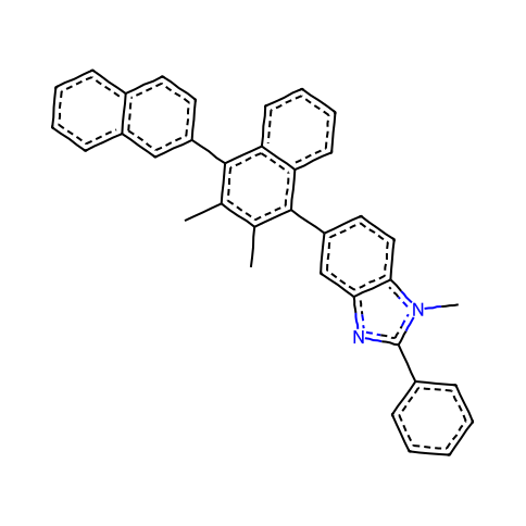 Cc1c(C)c(-c2ccc3c(c2)nc(-c2ccccc2)n3C)c2ccccc2c1-c1ccc2ccccc2c1